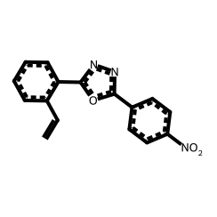 C=Cc1ccccc1-c1nnc(-c2ccc([N+](=O)[O-])cc2)o1